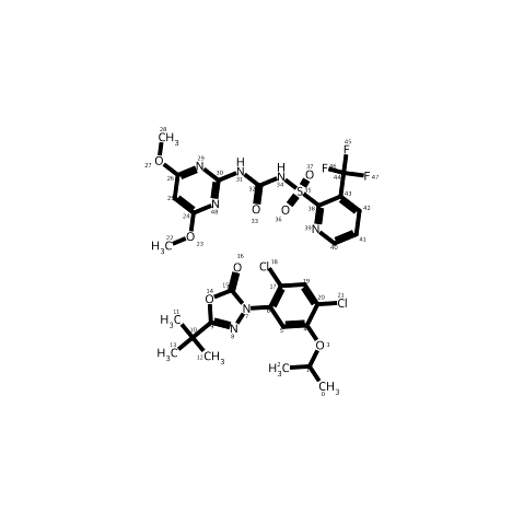 CC(C)Oc1cc(-n2nc(C(C)(C)C)oc2=O)c(Cl)cc1Cl.COc1cc(OC)nc(NC(=O)NS(=O)(=O)c2ncccc2C(F)(F)F)n1